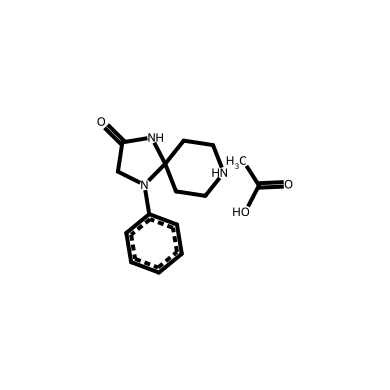 CC(=O)O.O=C1CN(c2ccccc2)C2(CCNCC2)N1